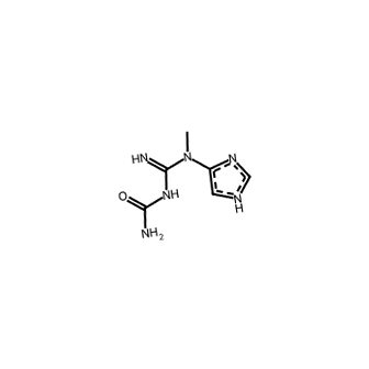 CN(C(=N)NC(N)=O)c1c[nH]cn1